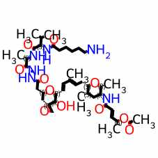 CC(=O)O[C@@H](C)C=CC(=O)N[C@@H]1C[C@H](C)[C@H](CC=C(C)C=C[C@H]2O[C@H](CC(=O)NNC(=O)[C@H](C)NC(=O)[C@@H](NC(=O)CCCCCN)C(C)C)C[C@@]3(CO3)[C@@H]2O)O[C@@H]1C